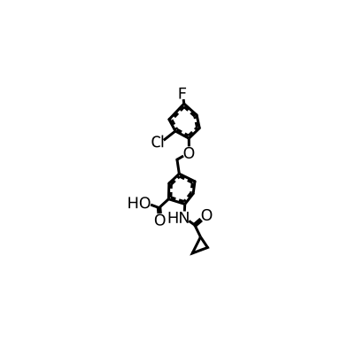 O=C(O)c1cc(COc2ccc(F)cc2Cl)ccc1NC(=O)C1CC1